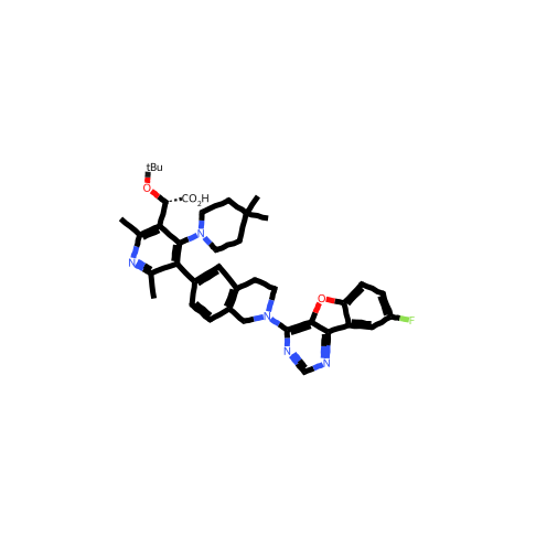 Cc1nc(C)c([C@H](OC(C)(C)C)C(=O)O)c(N2CCC(C)(C)CC2)c1-c1ccc2c(c1)CCN(c1ncnc3c1oc1ccc(F)cc13)C2